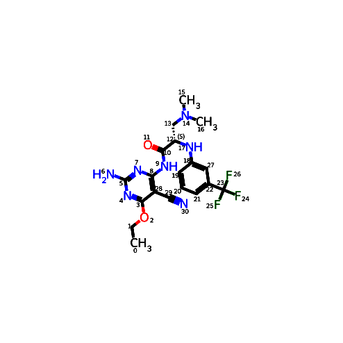 CCOc1nc(N)nc(NC(=O)[C@H](CN(C)C)Nc2cccc(C(F)(F)F)c2)c1C#N